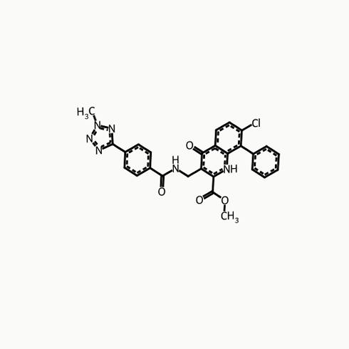 COC(=O)c1[nH]c2c(-c3ccccc3)c(Cl)ccc2c(=O)c1CNC(=O)c1ccc(-c2nnn(C)n2)cc1